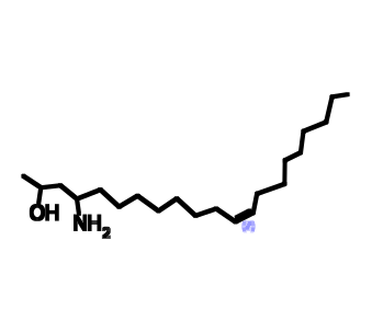 CCCCCCCC/C=C\CCCCCCCC(N)CC(C)O